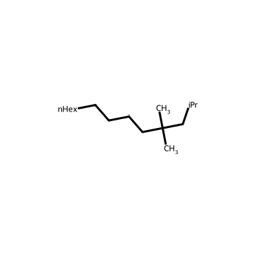 CCCCCCCC[CH]CC(C)(C)CC(C)C